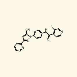 N#Cc1cc(-c2ccccn2)nn1-c1ccc(NC(=O)c2ccncc2F)cc1